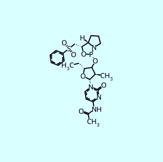 CC[C@H]1O[C@@H](n2ccc(NC(C)=O)nc2=O)[C@H](C)C1O[P@@]1O[C@H](CS(=O)(=O)c2ccccc2)[C@@H]2CCCN21